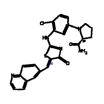 NC(=O)[C@@H]1CCCN1c1ccc(Cl)c(NC2=NC(=O)/C(=C/c3ccc4ncccc4c3)S2)c1